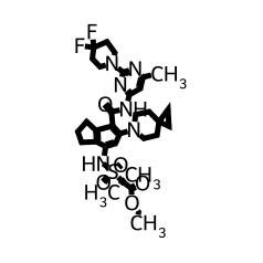 CCOC(=O)C(C)(C)S(=O)(=O)Nc1cc(N2CCC3(CC2)CC3)c(C(=O)Nc2cc(C)nc(N3CCC(F)(F)CC3)n2)c2c1CCC2